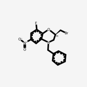 O=[N+]([O-])c1cc(F)c2c(c1)N(Cc1ccccc1)C[C@H](CBr)O2